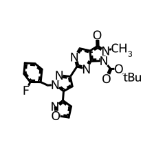 Cn1c(=O)c2cnc(-c3cc(-c4ccon4)n(Cc4ccccc4F)n3)nc2n1C(=O)OC(C)(C)C